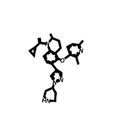 C=C(C1CC1)N1c2ccc(-c3cnn(C4CCNCC4)c3)c(Oc3ccc(C)nc3C)c2CCC1C